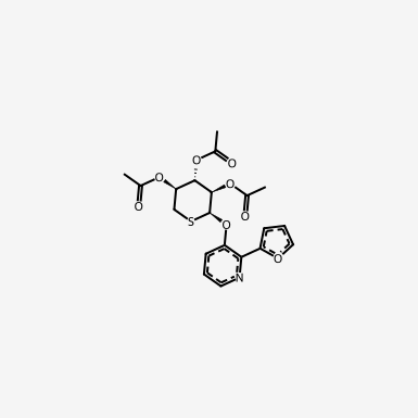 CC(=O)O[C@@H]1[C@@H](OC(C)=O)[C@@H](Oc2cccnc2-c2ccco2)SC[C@H]1OC(C)=O